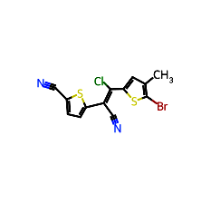 Cc1cc(/C(Cl)=C(\C#N)c2ccc(C#N)s2)sc1Br